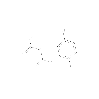 CCCC(=O)OC(=O)Nc1cc(C(F)(F)F)ccc1F